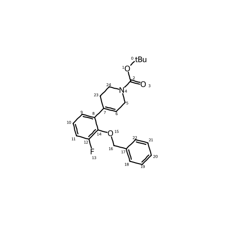 CC(C)(C)OC(=O)N1CC=C(c2cccc(F)c2OCc2ccccc2)CC1